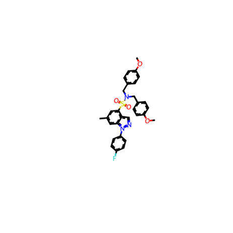 COc1ccc(CN(Cc2ccc(OC)cc2)S(=O)(=O)c2cc(C)cc3c2cnn3-c2ccc(F)cc2)cc1